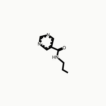 CCCNC(=O)c1cncnc1